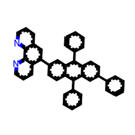 c1cccc(-c2c3cc(-c4cc5cccnc5c5ncccc45)ccc3c(-c3ccccc3)c3cc(-c4cc#ccc4)ccc23)c#1